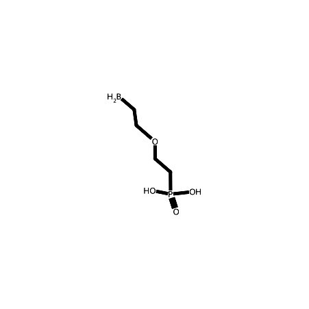 BCCOCCP(=O)(O)O